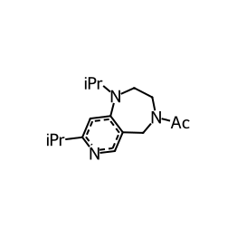 CC(=O)N1CCN(C(C)C)c2cc(C(C)C)ncc2C1